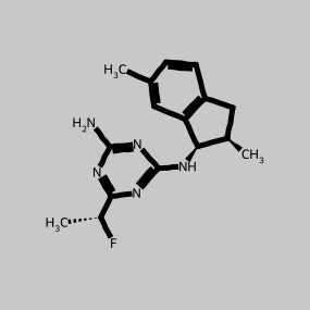 Cc1ccc2c(c1)[C@H](Nc1nc(N)nc([C@@H](C)F)n1)[C@H](C)C2